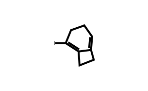 IC1=C2CCC2=CCC1